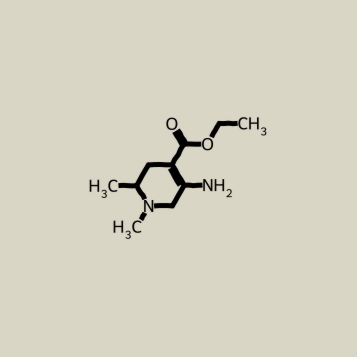 CCOC(=O)C1=C(N)CN(C)C(C)C1